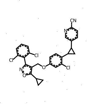 N#Cc1ccc(C2CC2c2ccc(OCc3c(-c4c(Cl)cccc4Cl)noc3C3CC3)cc2Cl)cn1